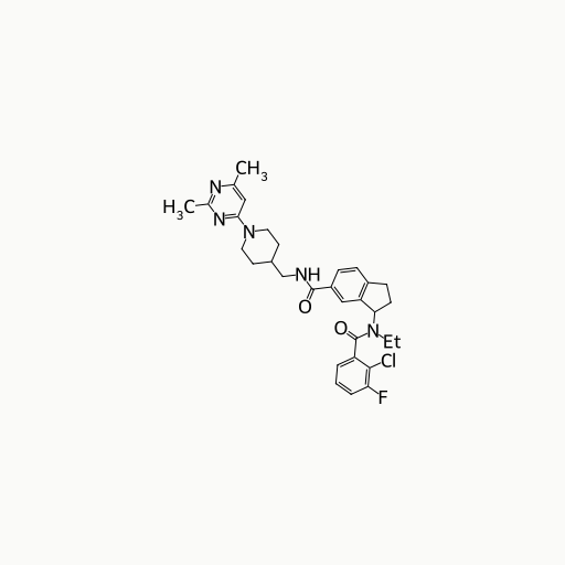 CCN(C(=O)c1cccc(F)c1Cl)C1CCc2ccc(C(=O)NCC3CCN(c4cc(C)nc(C)n4)CC3)cc21